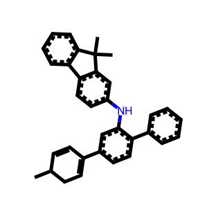 CC1C=CC(c2ccc(-c3ccccc3)c(Nc3ccc4c(c3)C(C)(C)c3ccccc3-4)c2)=CC1